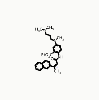 CCOC(=O)c1cc(N(C)CCCN(C)C)ccc1NC(=O)/C=C(/C)c1ccc2ccccc2c1